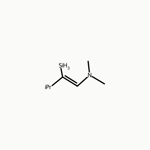 CC(C)C([SiH3])=CN(C)C